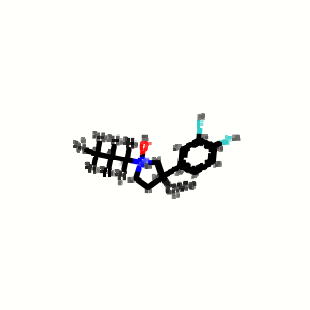 [2H]C([2H])([2H])C([2H])([2H])C([2H])([2H])[N+]1([O-])CCC(OC)(c2ccc(F)c(F)c2)C1